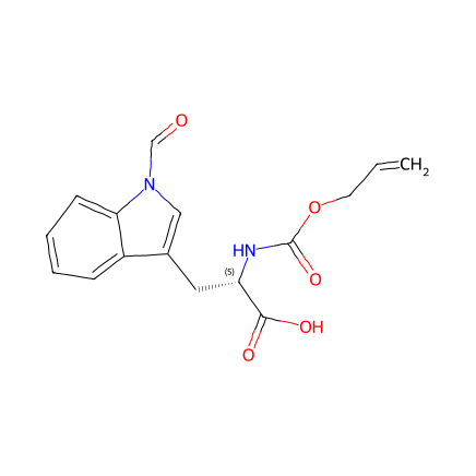 C=CCOC(=O)N[C@@H](Cc1cn(C=O)c2ccccc12)C(=O)O